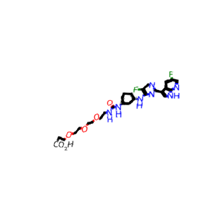 O=C(O)CCOCCOCCOCCNC(=O)N[C@H]1CCC[C@@H](Nc2nc(-c3c[nH]c4ncc(F)cc34)ncc2F)C1